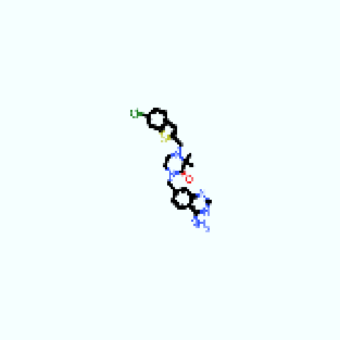 CC1(C)C(=O)N(Cc2ccc3c(N)ncnc3c2)CCN1Cc1cc2ccc(Cl)cc2s1